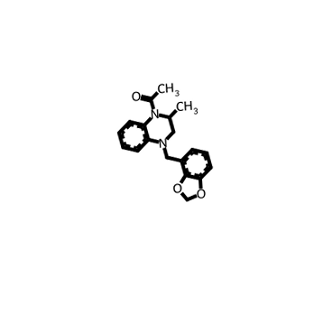 CC(=O)N1c2ccccc2N(Cc2cccc3c2OCO3)CC1C